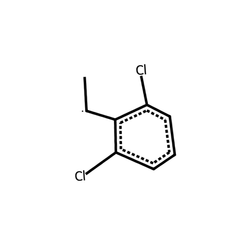 C[CH]c1c(Cl)cccc1Cl